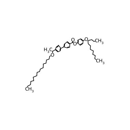 CCCCCCCCCCCCCCCCOC(C)c1ccc(-c2ccc(C(=O)Oc3ccc(OC(CCC)CCCCCCCC)cc3)cc2)cc1